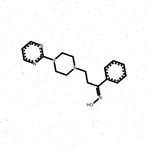 O/N=C(\CCN1CCN(c2ncccn2)CC1)c1ccccc1